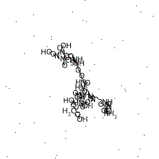 COC1C(Cc2ccc(NC(=S)NCCOCCOCCNC(=O)[C@H](CCCCn3cc(CCCC(=O)Nc4nnc(S(N)(=O)=O)s4)nn3)NC(=O)C[C@H](NC(=O)C[C@H](NC(=O)CCC(C)(c3ccc(O)cc3)c3ccc(O)cc3)C(=O)O)C(=O)O)cc2)N(CC(=O)O)CCN(COCO)CCN1CC=O